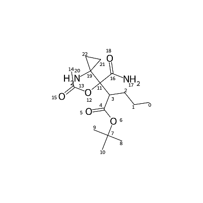 CCCC(C(=O)OC(C)(C)C)C(OC(C)=O)(C(N)=O)C1(N)CC1